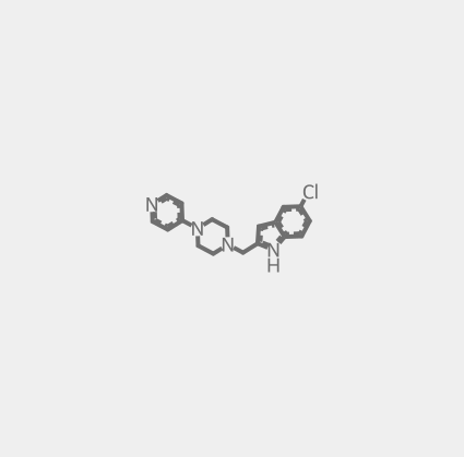 Clc1ccc2[nH]c(CN3CCN(c4ccncc4)CC3)cc2c1